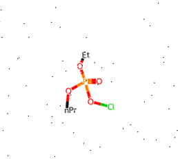 CCCOP(=O)(OCl)OCC